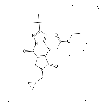 CCOC(=O)Cn1c2c(c(=O)n3nc(C(C)(C)C)cc13)CN(CC1CC1)C2=O